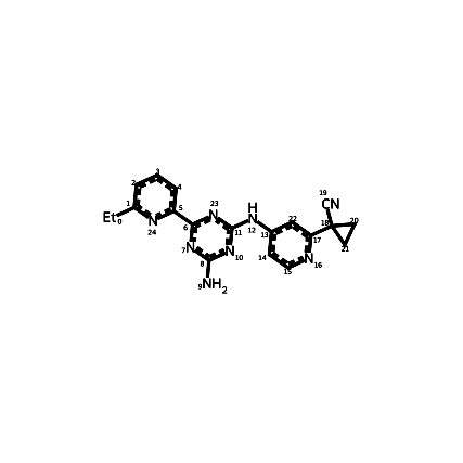 CCc1cccc(-c2nc(N)nc(Nc3ccnc(C4(C#N)CC4)c3)n2)n1